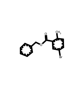 Cc1ccc(Br)cc1C(=O)OCc1ccccc1